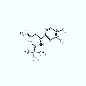 C=CCC(N[S@+]([O-])C(C)(C)C)c1cnc(Cl)c(F)c1